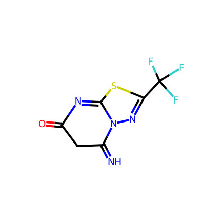 N=C1CC(=O)N=C2SC(C(F)(F)F)=NN12